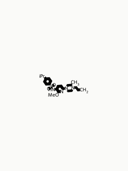 C=CCN1CCN(c2ccc(NS(=O)(=O)c3ccc(C(C)C)cc3)c(OC)n2)C[C@@H]1C